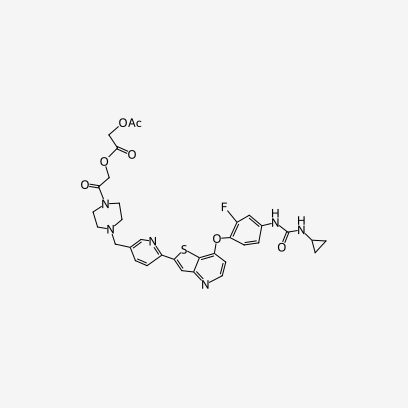 CC(=O)OCC(=O)OCC(=O)N1CCN(Cc2ccc(-c3cc4nccc(Oc5ccc(NC(=O)NC6CC6)cc5F)c4s3)nc2)CC1